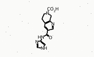 O=C(Nc1c[nH]cn1)c1cnc2c(c1)CCN(C(=O)O)C2